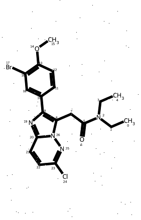 CCN(CC)C(=O)Cc1c(-c2ccc(OC)c(Br)c2)nc2ccc(Cl)nn12